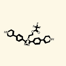 O=C(OCCn1c(-c2ccc(C3=CCNCC3)cc2)nnc1-c1ccc(C2=CCNCC2)cc1)C(F)(F)F